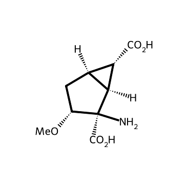 CO[C@@H]1C[C@H]2[C@H](C(=O)O)[C@H]2[C@]1(N)C(=O)O